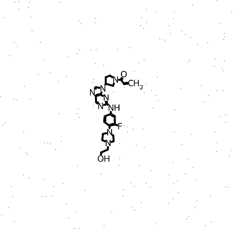 C=CC(=O)N1CCC(n2cnc3cnc(Nc4ccc(N5CCN(CCO)CC5)c(F)c4)nc32)C1